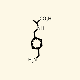 CC(NCc1ccc(CN)cc1)C(=O)O